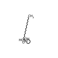 CCCCCCCCCCCCCCCCC(O)(O)C(=O)N1CCCCCC1